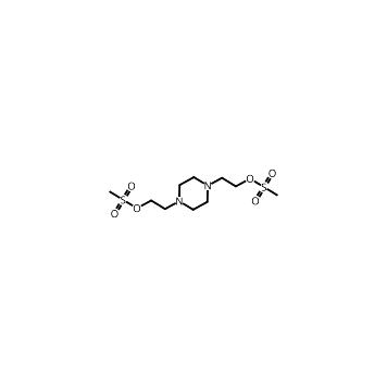 CS(=O)(=O)OCCN1CCN(CCOS(C)(=O)=O)CC1